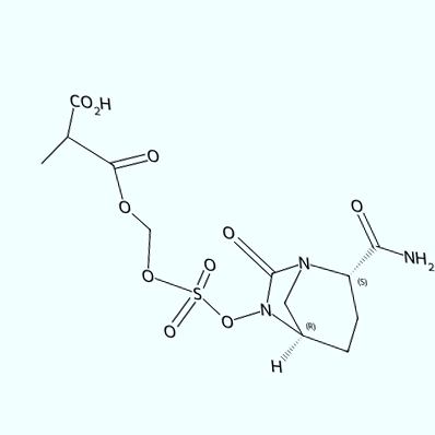 CC(C(=O)O)C(=O)OCOS(=O)(=O)ON1C(=O)N2C[C@H]1CC[C@H]2C(N)=O